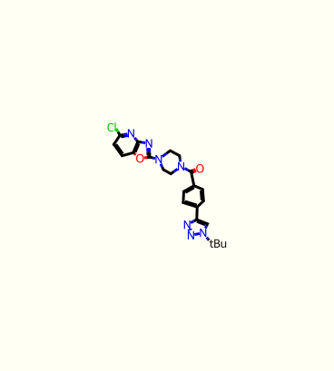 CC(C)(C)n1cc(-c2ccc(C(=O)N3CCN(c4nc5nc(Cl)ccc5o4)CC3)cc2)nn1